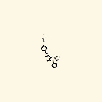 CNC(=O)COc1ccc(-c2nc3c(N[C@]4(Cc5ccccc5)CCNC4)c(Cl)cnc3[nH]2)cc1